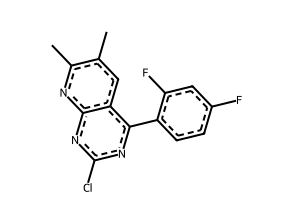 Cc1cc2c(-c3ccc(F)cc3F)nc(Cl)nc2nc1C